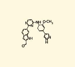 COC1=CC(c2cn[nH]c2)=CCC1Nc1ccnc(-c2ccc3cc(C=O)[nH]c3c2)n1